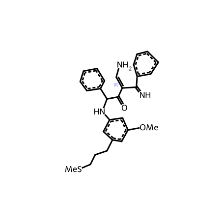 COc1cc(CCCSC)cc(NC(C(=O)/C(=C/N)C(=N)c2ccccc2)c2ccccc2)c1